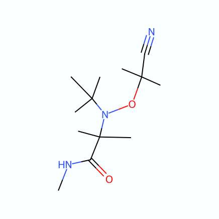 CNC(=O)C(C)(C)N(OC(C)(C)C#N)C(C)(C)C